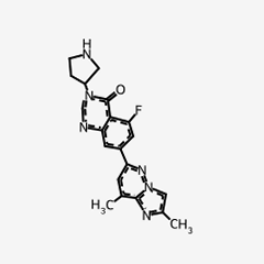 Cc1cn2nc(-c3cc(F)c4c(=O)n(C5CCNC5)cnc4c3)cc(C)c2n1